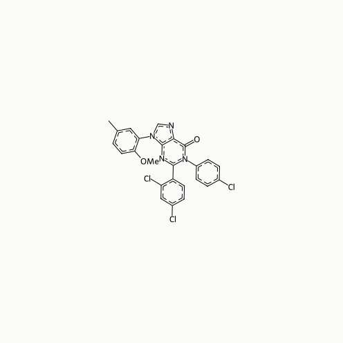 COc1ccc(C)cc1-n1cnc2c(=O)n(-c3ccc(Cl)cc3)c(-c3ccc(Cl)cc3Cl)nc21